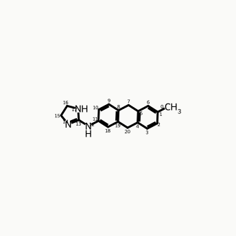 Cc1ccc2c(c1)Cc1ccc(NC3=NCCN3)cc1C2